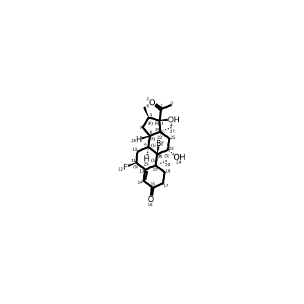 CC(=O)[C@@]1(O)[C@H](C)C[C@H]2[C@@H]3C[C@H](F)C4=CC(=O)CC[C@]4(C)[C@@]3(Br)[C@@H](O)C[C@@]21C